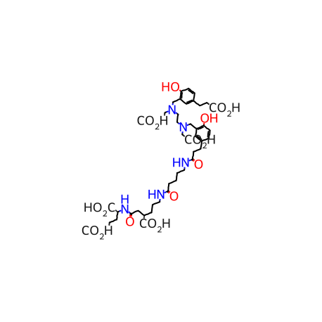 O=C(O)CCc1ccc(O)c(CN(CCN(CC(=O)O)Cc2cc(CCC(=O)NCCCCC(=O)NCCC[C@H](CC(=O)N[C@@H](CCC(=O)O)C(=O)O)C(=O)O)ccc2O)CC(=O)O)c1